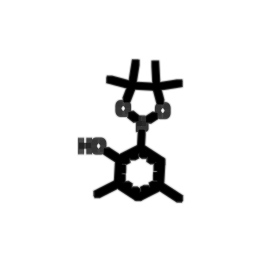 Cc1cc(C)c(O)c(B2OC(C)(C)C(C)(C)O2)c1